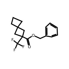 O=C(OCc1ccccc1)C1(C(F)(F)F)CC2(CCC2)C1